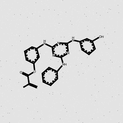 C=C(C)C(=O)Oc1cccc(Nc2nc(Nc3ccccc3)nc(Nc3cccc(O)c3)n2)c1